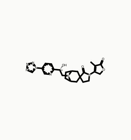 CC1=C(N2CCC3(CC4CCC(C3)N4C[C@@H](O)c3ccc(-n4cnnn4)cn3)C2=O)COC1=O